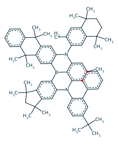 Cc1cc2c3c(c1)N(c1ccc(C(C)(C)C)cc1-c1ccccc1)c1cc4c(cc1B3c1cc3c(cc1N2c1cc2c(cc1C)C(C)(C)CCC2(C)C)C(C)(C)c1ccccc1C3(C)C)C(C)(C)CC4(C)C